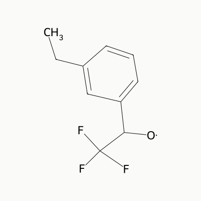 CCc1cccc(C([O])C(F)(F)F)c1